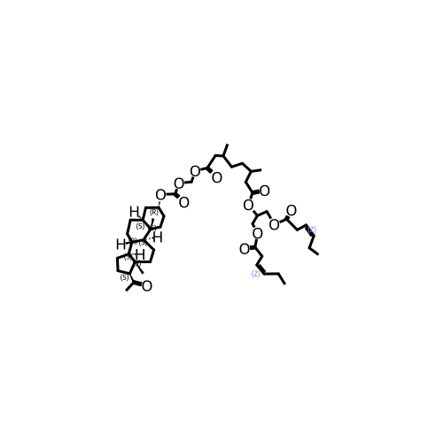 CC/C=C\CC(=O)OCC(COC(=O)C/C=C\CC)OC(=O)CC(C)CCC(C)CC(=O)OCOC(=O)O[C@@H]1CC[C@@]2(C)[C@@H](CC[C@@H]3[C@@H]2CC[C@]2(C)[C@@H](C(C)=O)CC[C@@H]32)C1